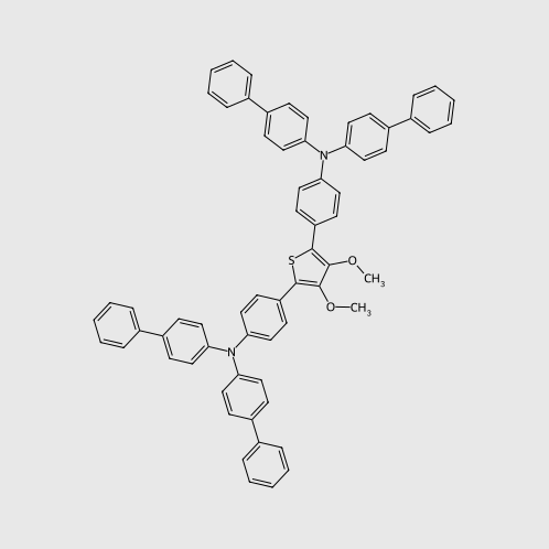 COc1c(-c2ccc(N(c3ccc(-c4ccccc4)cc3)c3ccc(-c4ccccc4)cc3)cc2)sc(-c2ccc(N(c3ccc(-c4ccccc4)cc3)c3ccc(-c4ccccc4)cc3)cc2)c1OC